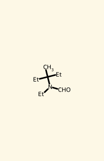 CCN(C=O)C(C)(CC)CC